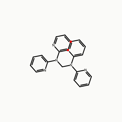 c1ccc(N(CN(c2ccccn2)c2ccccn2)c2ccccn2)nc1